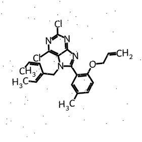 C=CCOc1ccc(C)cc1-c1nc2nc(Cl)nc(Cl)c2n1CC(/C=C\C)=C/C